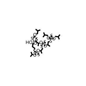 CC(C)CO[PH](=S)SCC(C)OP(=S)(OC(C)CSP(=S)(OCC(C)C)OCC(C)C)SCC(C)OP(=S)(OC(C)C)SCCC(=O)O